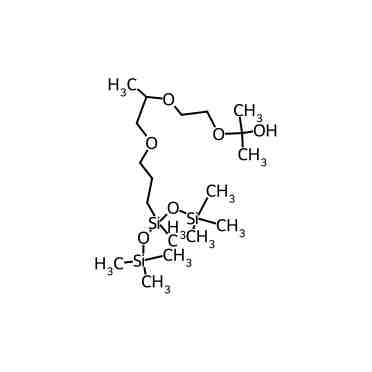 CC(COCCC[Si](C)(O[Si](C)(C)C)O[Si](C)(C)C)OCCOC(C)(C)O